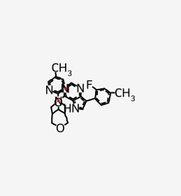 Cc1cnc(N2CC3COCC(C2)C3Oc2ncnc3c(-c4ccc(C)cc4F)c[nH]c23)nc1